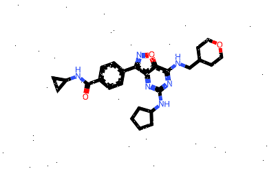 O=C(NC1CC1)c1ccc(-c2noc3c(NCC4CCOCC4)nc(NC4CCCC4)nc23)cc1